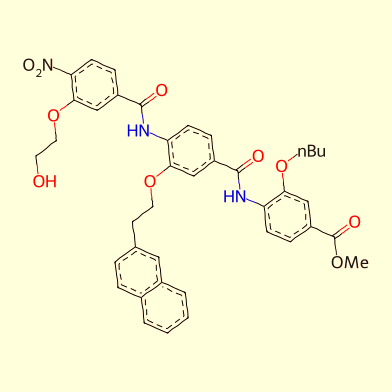 CCCCOc1cc(C(=O)OC)ccc1NC(=O)c1ccc(NC(=O)c2ccc([N+](=O)[O-])c(OCCO)c2)c(OCCc2ccc3ccccc3c2)c1